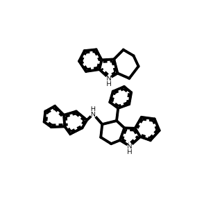 c1ccc(C2c3c([nH]c4ccccc34)CCC2Nc2ccc3ccccc3c2)cc1.c1ccc2c3c([nH]c2c1)CCCC3